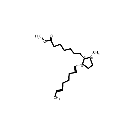 CC=CCCCC=C[C@H]1CC[C@@H](C)[C@@H]1CCCCCCC(=O)OC